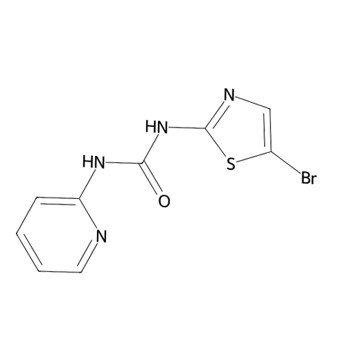 O=C(Nc1ccccn1)Nc1ncc(Br)s1